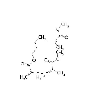 C=C(C)C(=O)OC.C=C(C)C(=O)OCCCC.C=CC(=O)OC